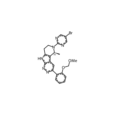 COCOc1ccccc1-c1cc2c3c([nH]c2nn1)CCN(c1ncc(Br)cn1)[C@H]3C